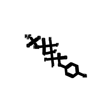 CCc1ccc(OS(=O)(=O)C(F)(F)C(F)(F)C(F)(F)S(=O)(=O)NS(=O)(=O)C(F)(F)F)cc1